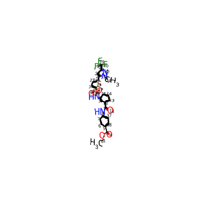 CCOC(=O)c1ccc(NC(=O)c2cccc(NS(=O)(=O)c3ccc(-c4cc(C(F)(F)F)nn4C)s3)c2)cc1